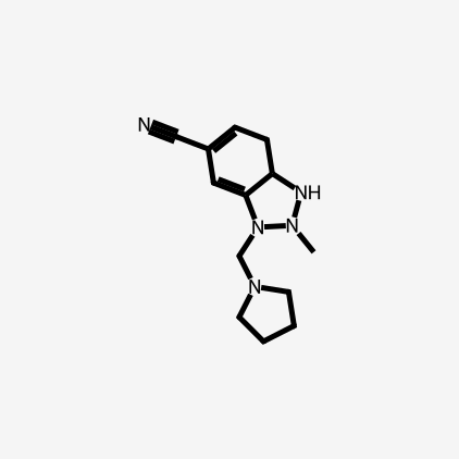 CN1NC2CC=C(C#N)C=C2N1CN1CCCC1